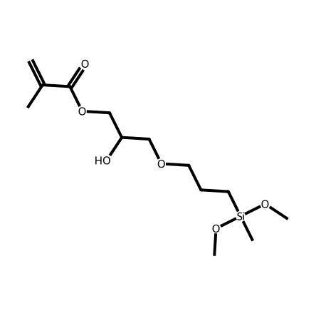 C=C(C)C(=O)OCC(O)COCCC[Si](C)(OC)OC